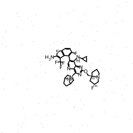 Nc1sc2ccc(F)c(-c3cnc4c(N5CC6CCC(C5)N6)nc(OC[C@@]56CCCN5C[C@H](F)C6)nc4c3NC3CC3)c2c1C(F)(F)F